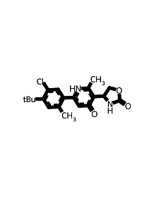 Cc1cc(C(C)(C)C)c(Cl)cc1-c1cc(=O)c(C2COC(=O)N2)c(C)[nH]1